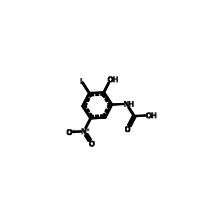 O=C(O)Nc1cc([N+](=O)[O-])cc(I)c1O